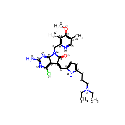 CCN(CC)CCCc1ccc(C=C2C(=O)N(Cc3ncc(C)c(OC)c3C)c3nc(N)nc(Cl)c32)[nH]1